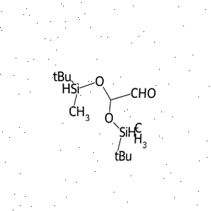 C[SiH](OC(C=O)O[SiH](C)C(C)(C)C)C(C)(C)C